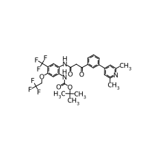 Cc1cc(-c2cccc(C(=O)CC(=O)Nc3cc(C(F)(F)F)c(OCC(F)(F)F)cc3NC(=O)OC(C)(C)C)c2)cc(C)n1